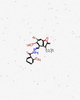 CCOC(=O)c1c(C)oc2cc(Br)c(O)c(C=NNC(=O)c3ccccc3O)c12